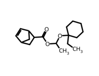 CCC1(OC(C)OC(=O)C2CC3C=CC2C3)CCCCC1